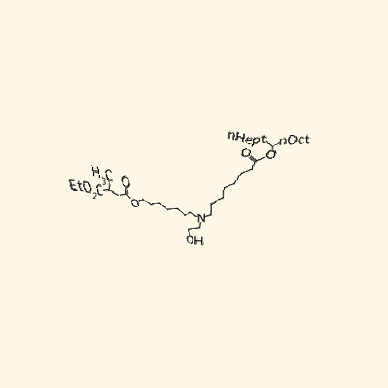 CCCCCCCCC(CCCCCCC)OC(=O)CCCCCCCN(CCO)CCCCCCCOC(=O)CC(C)C(=O)OCC